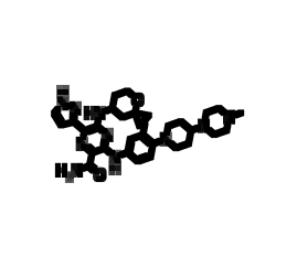 Cc1cc(Nc2nc(NC3CCOC4(CC4)C3)c(-c3cc[nH]n3)nc2C(N)=O)ccc1N1CCC(N2CCN(C)CC2)CC1